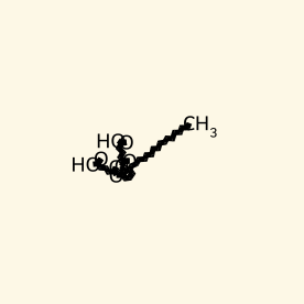 CCCCCCCCCCCCCCCCCc1cccc(OC(=O)CCCC(=O)O)c1OC(=O)CCCC(=O)O